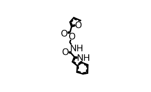 O=C(NCOC(=O)c1ccco1)c1cc2ccccc2[nH]1